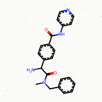 CN(Cc1ccccc1)C(=O)C(N)c1ccc(C(=O)Nc2ccncc2)cc1